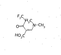 CN(C)/C=C(/C(=O)O)C(=O)CC(F)(F)F